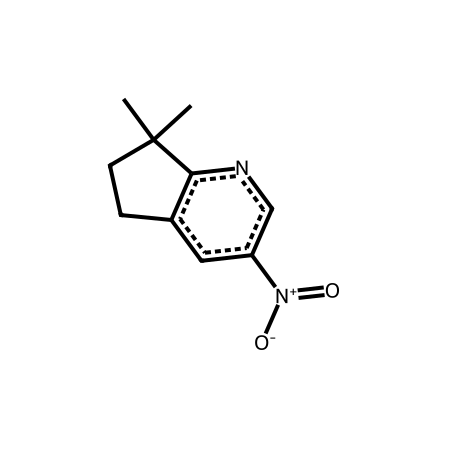 CC1(C)CCc2cc([N+](=O)[O-])cnc21